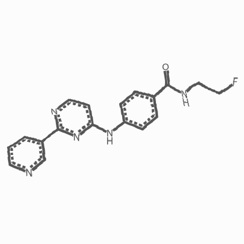 O=C(NCCF)c1ccc(Nc2ccnc(-c3cccnc3)n2)cc1